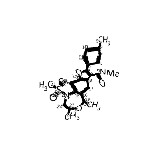 CNC(=O)c1c(-c2ccc(C)cc2)oc2cc3c(cc12)C(C)OC(C)CN3S(C)(=O)=O